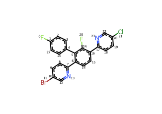 Fc1ccc(-c2c(-c3ccc(Br)cn3)[c]cc(-c3ccc(Cl)cn3)c2F)cc1